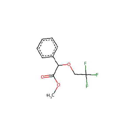 COC(=O)C(OCC(F)(F)F)c1ccccc1